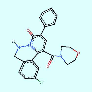 CCN1Cc2ccc(Cl)cc2-c2c(C(=O)N3CCOCC3)cc(-c3ccccc3)c(=O)n21